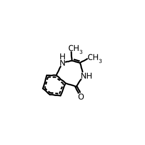 CC1=C(C)Nc2ccccc2C(=O)N1